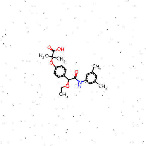 CCOC(C(=O)Nc1cc(C)cc(C)c1)c1ccc(OC(C)(C)C(=O)O)cc1